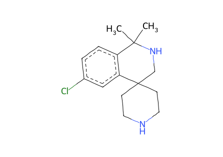 CC1(C)NCC2(CCNCC2)c2cc(Cl)ccc21